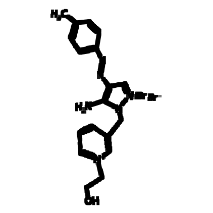 Br.Cc1ccc(/N=N/c2cnn(Cc3ccc[n+](CCO)c3)c2N)cc1.[Br-]